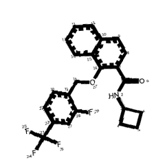 O=C(NC1CCC1)c1ccc2ccccc2c1OCc1ccc(C(F)(F)F)cc1F